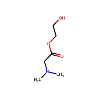 CN(C)CC(=O)OCCO